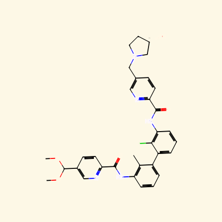 COC(OC)c1ccc(C(=O)Nc2cccc(-c3cccc(NC(=O)c4ccc(CN5CC[C@H](O)C5)cn4)c3Cl)c2C)nc1